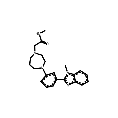 CNC(=O)CN1CCCN(c2cccc(-c3nc4ccccc4n3C)c2)CC1